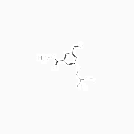 COC(=O)c1cc(C=O)cc(OCC(C)C)c1